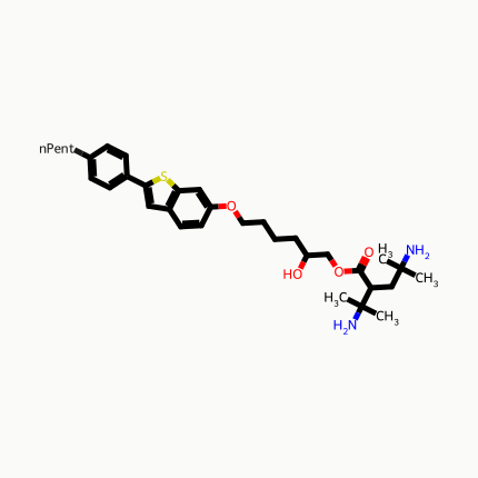 CCCCCc1ccc(-c2cc3ccc(OCCCCC(O)COC(=O)C(CC(C)(C)N)C(C)(C)N)cc3s2)cc1